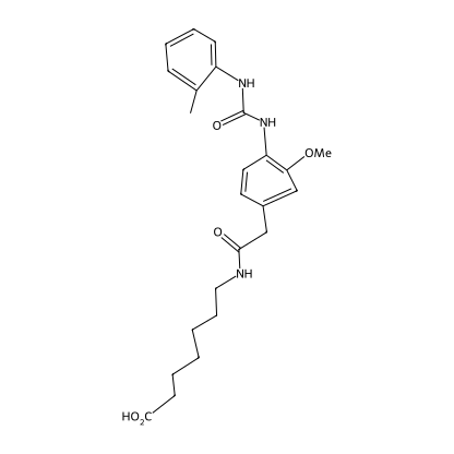 COc1cc(CC(=O)NCCCCCCC(=O)O)ccc1NC(=O)Nc1ccccc1C